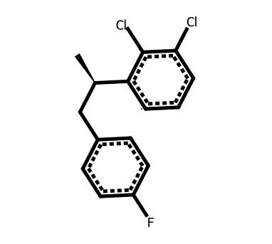 C[C@H](Cc1ccc(F)cc1)c1[c]ccc(Cl)c1Cl